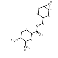 CC1CCC(C(=O)OCC2CCC3OC3C2)CC1C